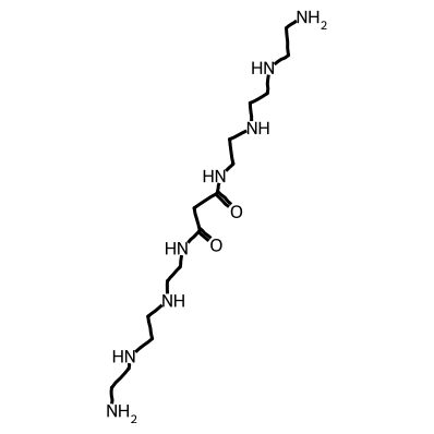 NCCNCCNCCNC(=O)CC(=O)NCCNCCNCCN